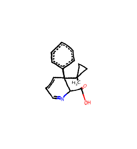 CC1(C2(c3ccccc3)C=CC=NC2C(=O)O)CC1